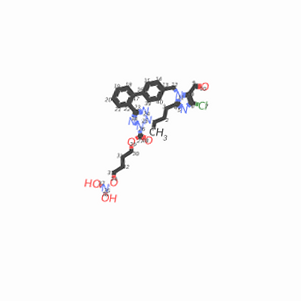 CCCCc1nc(Cl)c(C=O)n1Cc1ccc(-c2ccccc2-c2nnn(C(=O)OCCCCON(O)O)n2)cc1